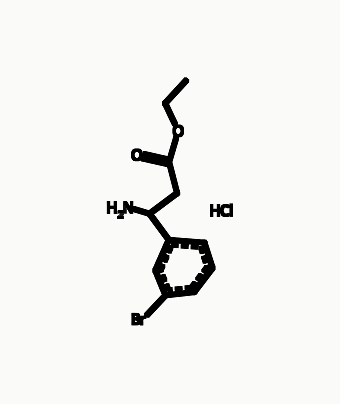 CCOC(=O)CC(N)c1cccc(Br)c1.Cl